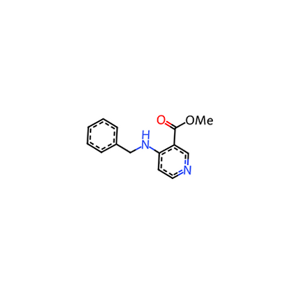 COC(=O)c1cnccc1NCc1ccccc1